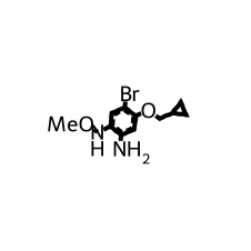 CONc1cc(Br)c(OCC2CC2)cc1N